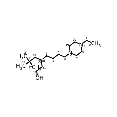 CCN1CCN(CCCC[C@@H](CCO)CC(C)(C)C)CC1